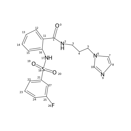 O=C(NCCCn1ccnc1)c1ccccc1NS(=O)(=O)c1cccc(F)c1